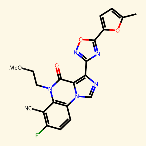 COCCn1c(=O)c2c(-c3noc(-c4ccc(C)o4)n3)ncn2c2ccc(F)c(C#N)c21